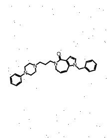 O=C1c2ccn(Cc3ccccc3)c2C=CCN1CCCN1CCN(c2ccccc2)CC1